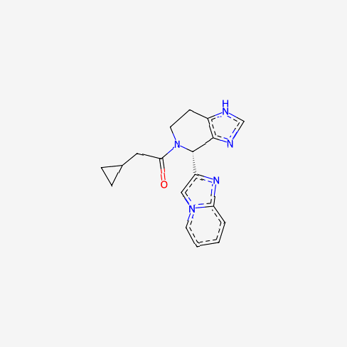 O=C(CC1CC1)N1CCc2[nH]cnc2[C@@H]1c1cn2ccccc2n1